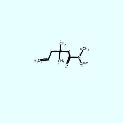 C=CCC(C)(C)CC(=O)N(C)OC